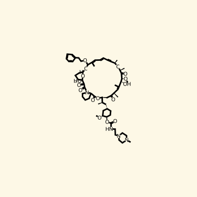 CO[C@@H]1C[C@H](C[C@@H](C)[C@@H]2CC(=O)[C@H](C)/C=C(\C)[C@@H](O)[C@@H](OC)C(=O)[C@H](C)C[C@H](C)/C=C/C=C/C=C(\C)C(OCCc3ccccc3)C[C@@H]3CC[C@@H](C)[C@@](O)(O3)C(=O)C(=O)N3CCCCC3C(=O)O2)CC[C@H]1OC(=O)NCCN1CCN(C)CC1